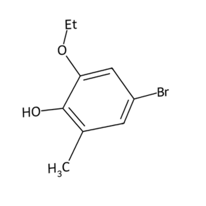 CCOc1cc(Br)cc(C)c1O